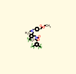 CCOC(=O)C[C@H]1CC[C@H](CN(CC)Cc2ccc(C(F)(F)F)cc2CN2C(=O)O[C@H](c3cc(C(F)(F)F)cc(C(F)(F)F)c3)[C@@H]2C)CC1